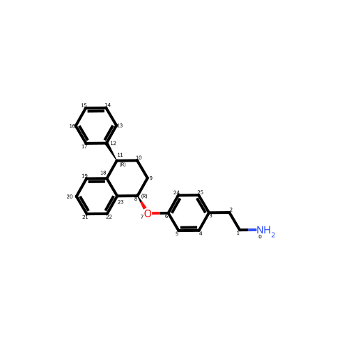 NCCc1ccc(O[C@@H]2CC[C@H](c3ccccc3)c3ccccc32)cc1